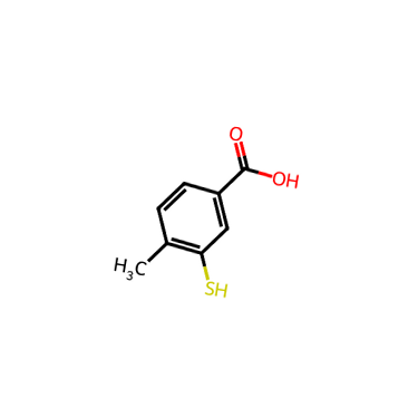 Cc1ccc(C(=O)O)cc1S